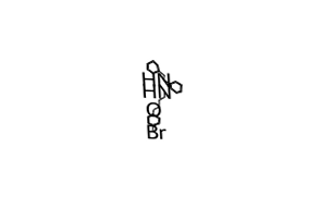 Brc1ccc(OCCCNc2ccccc2NCc2ccccc2)cc1